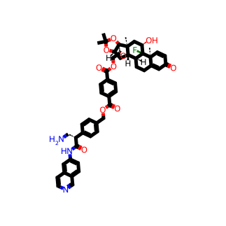 CC1(C)O[C@@H]2C[C@H]3[C@@H]4CCC5=CC(=O)C=C[C@]5(C)[C@@]4(F)[C@@H](O)C[C@]3(C)[C@]2(C(=O)COC(=O)c2ccc(C(=O)OCc3ccc([C@@H](CN)C(=O)Nc4ccc5cnccc5c4)cc3)cc2)O1